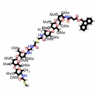 COCC1OC(NC(=O)CCC(=O)OCC2c3ccccc3-c3ccccc32)C(OC)[C@H](OC)[C@H]1O[C@@H]1OC(COC)[C@H](O[C@@H]2OC(C)[C@@H](NC(=O)CSCC(=O)NCC(=O)NC3OC(COC)[C@H](O[C@@H]4OC(COC)[C@H](O[C@@H]5OC(C)[C@@H](NC(=O)CSC(C)=O)[C@@H](OC)C5OC)[C@@H](OC)C4OC)[C@@H](OC)C3OC)[C@@H](OC)C2OC)[C@@H](OC)C1OC